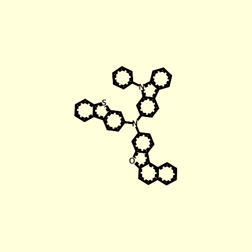 c1ccc(-n2c3ccccc3c3ccc(N(c4ccc5c(c4)oc4ccc6ccccc6c45)c4ccc5c(c4)sc4ccccc45)cc32)cc1